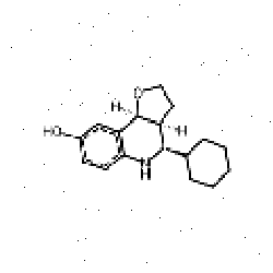 Oc1ccc2c(c1)[C@H]1OCC[C@H]1[C@@H](C1CCCCC1)N2